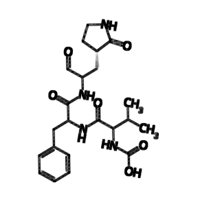 CC(C)C(NC(=O)O)C(=O)NC(Cc1ccccc1)C(=O)NC(C=O)C[C@@H]1CCNC1=O